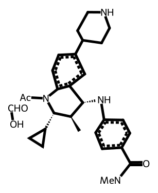 CNC(=O)c1ccc(N[C@H]2c3cc(C4CCNCC4)ccc3N(C(C)=O)[C@@H](C3CC3)[C@@H]2C)cc1.O=CO